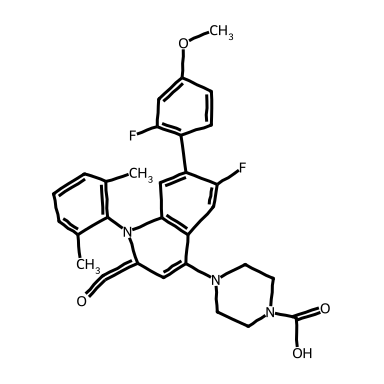 COc1ccc(-c2cc3c(cc2F)C(N2CCN(C(=O)O)CC2)=CC(=C=O)N3c2c(C)cccc2C)c(F)c1